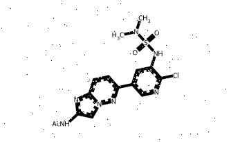 CC(=O)Nc1cn2nc(-c3cnc(Cl)c(NS(=O)(=O)N(C)C)c3)ccc2n1